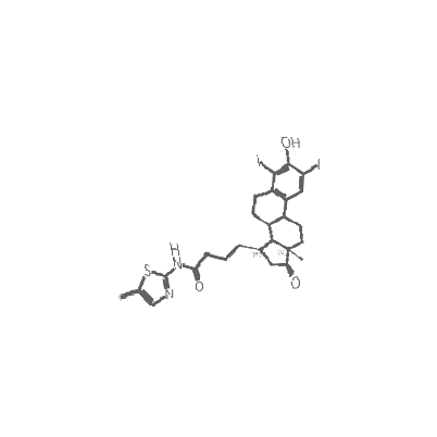 Cc1cnc(NC(=O)CCC[C@@H]2CC(=O)[C@@]3(C)CCC4c5cc(I)c(O)c(I)c5CCC4C23)s1